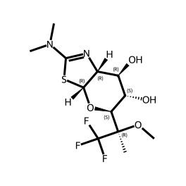 CO[C@](C)([C@H]1O[C@@H]2SC(N(C)C)=N[C@@H]2[C@@H](O)[C@@H]1O)C(F)(F)F